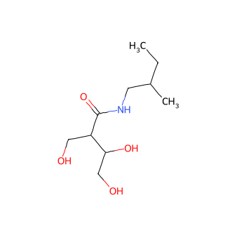 CCC(C)CNC(=O)C(CO)C(O)CO